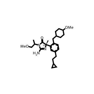 COCC(C)N1C(=O)[C@](C)(c2cc(CCC3CC3)ccc2CC2CCC(OC)CC2)N=C1N